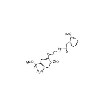 COC(=O)c1cc(OCCCNC(=O)Cc2ccccc2OC)c(OC)cc1N